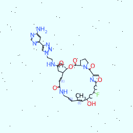 CC1=C\C(O)CC(F)Cc2nc(co2)C(=O)N2CCCC2C(=O)OC(C(C)C)C(CC(=O)NCCn2cc(-c3cc(N)ncn3)nn2)/C=C/C(=O)NC\C=C\1